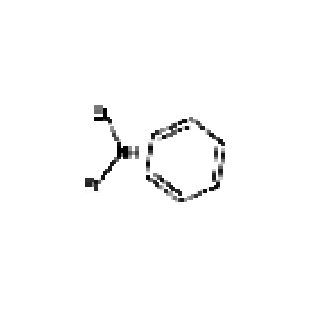 CCNCC.c1ccccc1